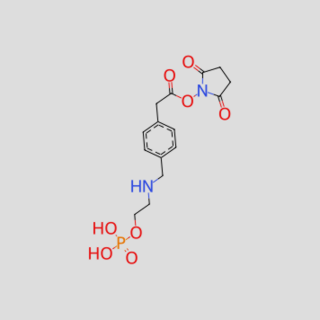 O=C(Cc1ccc(CNCCOP(=O)(O)O)cc1)ON1C(=O)CCC1=O